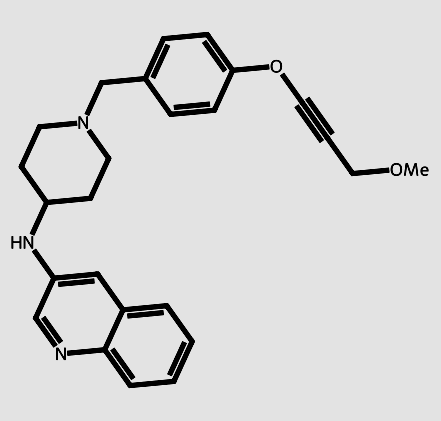 COCC#COc1ccc(CN2CCC(Nc3cnc4ccccc4c3)CC2)cc1